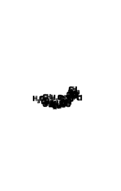 COc1ccc(Cl)cc1S(=O)(=O)Nc1noc2cc(Cn3cc4c(n3)CN(C(=O)OC(C)(C)C)C4)cc(OC)c12